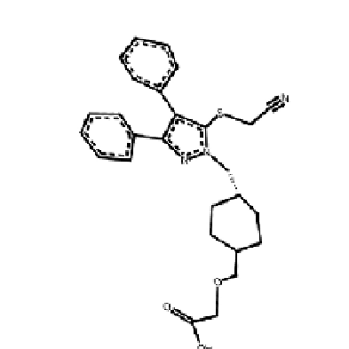 N#CCSc1c(-c2ccccc2)c(-c2ccccc2)nn1C[C@H]1CC[C@H](COCC(=O)O)CC1